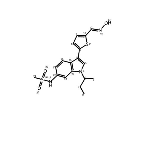 CCC(C)n1cc(-c2ccc(C=NO)s2)c2ccc(NS(C)(=O)=O)cc21